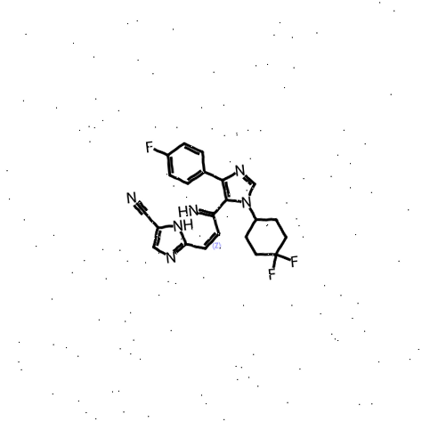 N#Cc1cnc(/C=C\C(=N)c2c(-c3ccc(F)cc3)ncn2C2CCC(F)(F)CC2)[nH]1